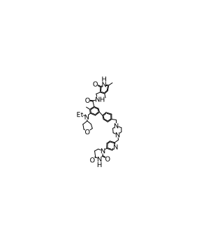 CCN(c1cc(-c2ccc(CN3CCN(Cc4ccc(N5CCC(=O)NC5=O)cn4)CC3)cc2)cc(C(=O)NCc2c(C)cc(C)[nH]c2=O)c1C)C1CCOCC1